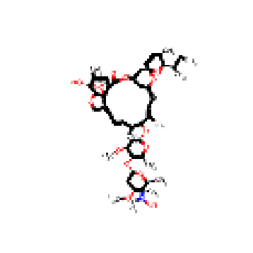 CCC(C)[C@H]1O[C@]2(C=C[C@@H]1C)C[C@@H]1C[C@@H](C/C=C(\C)[C@@H](O[C@H]3C[C@H](OC)[C@@H](O[C@H]4C[C@H](OC)[C@](C)(N(C)O)[C@H](C)O4)[C@H](C)O3)C(C)/C=C/C=C3\CO[C@@H]4[C@H](O)C(C)=C[C@@H](C(=O)O1)[C@]34O)O2